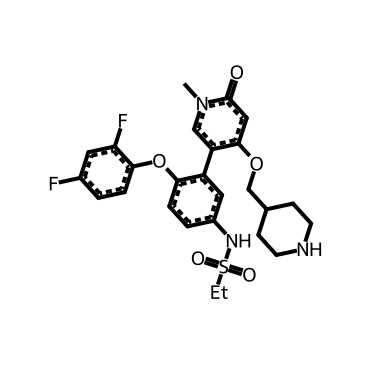 CCS(=O)(=O)Nc1ccc(Oc2ccc(F)cc2F)c(-c2cn(C)c(=O)cc2OCC2CCNCC2)c1